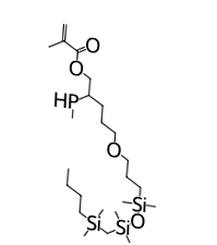 C=C(C)C(=O)OCC(CCCOCCC[Si](C)(C)O[Si](C)(C)C[Si](C)(C)CCCC)PC